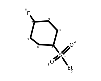 CCS(=O)(=O)C1CCC(F)CC1